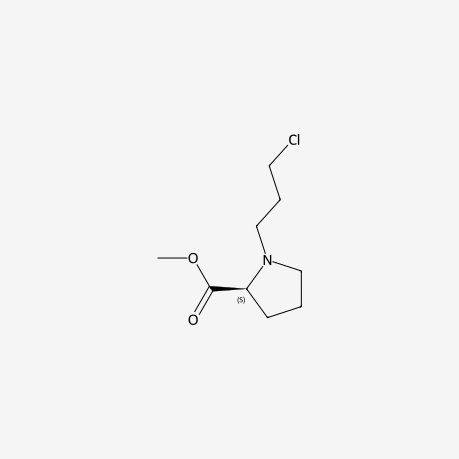 COC(=O)[C@@H]1CCCN1CCCCl